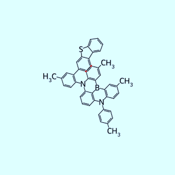 Cc1ccc(N2c3ccc(C)cc3B3c4cc(C)ccc4N(c4ccc(C)cc4-c4ccc5c(c4)sc4ccccc45)c4cccc2c43)cc1